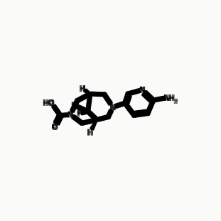 Nc1ccc(N2C[C@H]3CN(C(=O)O)C[C@@H](C2)C3(F)F)cn1